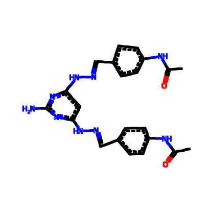 CC(=O)Nc1ccc(C=NNc2cc(NN=Cc3ccc(NC(C)=O)cc3)nc(N)n2)cc1